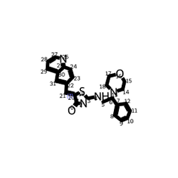 O=C1N=C(NCC(c2ccccc2)N2CCOCC2)S/C1=C\c1ccc2ncccc2c1